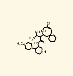 CN1CCN(C2CCNCC2NC(=O)C(C(N)N)C2CC3(C/C=C(/Cl)CN2)CCCCC3)CC1